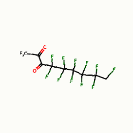 O=C(C(=O)C(F)(F)C(F)(F)C(F)(F)C(F)(F)C(F)(F)CF)C(F)(F)F